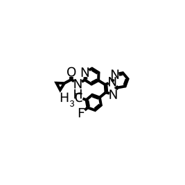 Cc1cc(-c2nc3cccnn3c2-c2ccnc(NC(=O)C3CC3)c2)ccc1F